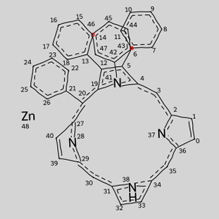 C1=Cc2cc3c(-c4ccccc4)c(-c4ccccc4)c(c(-c4ccccc4)c4nc(cc5ccc(cc1n2)[nH]5)C=C4)n3-c1ccccc1.[Zn]